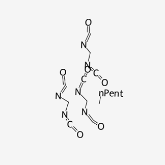 CCCCCC.O=C=NCN=C=O.O=C=NCN=C=O.O=C=NCN=C=O